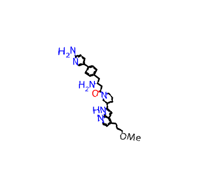 COCCCc1ccnc2[nH]c(C3CCCN(C(=O)C[C@H](N)Cc4ccc(-c5ccc(N)nc5)cc4)C3)cc12